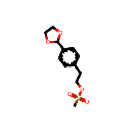 CS(=O)(=O)OCCc1ccc(C2OCCO2)cc1